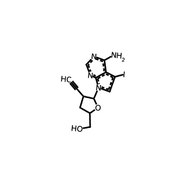 C#CC1CC(CO)OC1n1cc(I)c2c(N)ncnc21